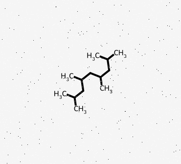 CC(C)CC(C)CC(C)CC(C)C